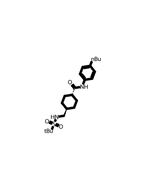 CCCCc1ccc(NC(=O)[C@H]2CC[C@H](CNS(=O)(=O)C(C)(C)C)CC2)cc1